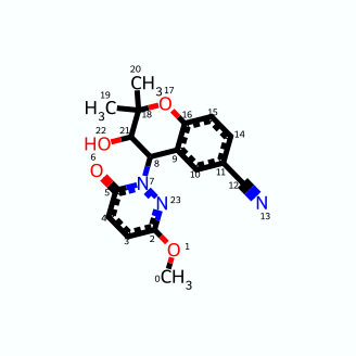 COc1ccc(=O)n(C2c3cc(C#N)ccc3OC(C)(C)C2O)n1